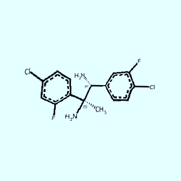 C[C@](N)(c1ccc(Cl)cc1F)[C@H](N)c1ccc(Cl)c(F)c1